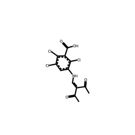 CC(=O)C(=CNc1cc(Cl)c(Cl)c(C(=O)O)c1Cl)C(C)=O